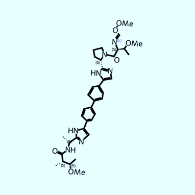 COO/C=N/[C@H](C(=O)N1CCC[C@H]1c1ncc(-c2ccc(-c3ccc(-c4cnc([C@@H](C)NC(=O)[C@@H](C)[C@@H](C)OC)[nH]4)cc3)cc2)[nH]1)C(C)OC